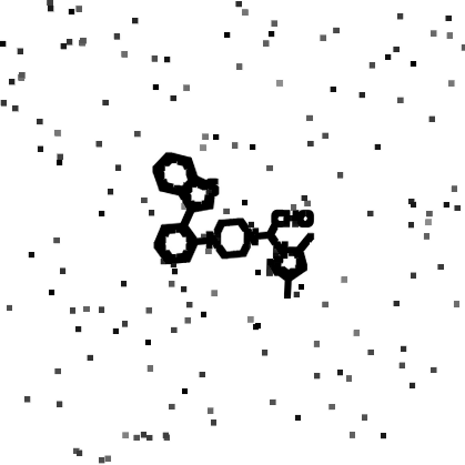 Cc1cc(C)n(C(C=O)N2CCN(c3ccccc3-c3csc4ccccc34)CC2)n1